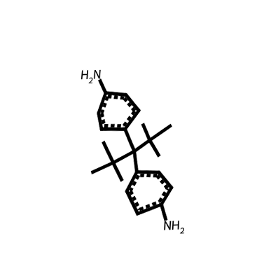 CC(C)(C)C(c1ccc(N)cc1)(c1ccc(N)cc1)C(C)(C)C